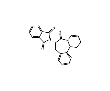 O=C1[C@@H](N2C(=O)c3ccccc3C2=O)Cc2ccccc2C2CCC=CN12